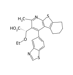 CCO[C@H](C(=O)O)c1c(C)nc2sc3c(c2c1-c1ccc2scnc2c1)CCCC3